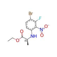 CCOC(=O)[C@H](C)Nc1ccc(Br)c(F)c1[N+](=O)[O-]